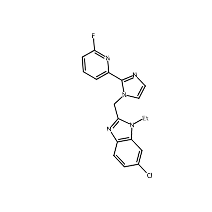 CCn1c(Cn2ccnc2-c2cccc(F)n2)nc2ccc(Cl)cc21